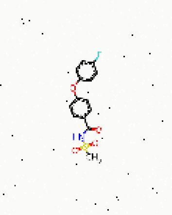 CS(=O)(=O)NC(=O)c1ccc(Oc2ccc(F)cc2)cc1